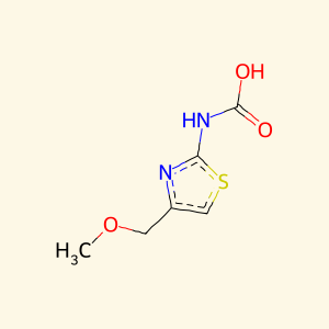 COCc1csc(NC(=O)O)n1